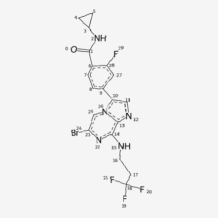 O=C(NC1CC1)c1ccc(-c2cnc3c(NCCC(F)(F)F)nc(Br)cn23)cc1F